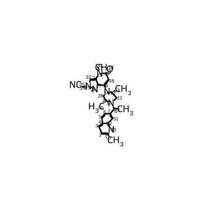 Cc1ccc2ccc(C(C)N3C[C@H](C)N(c4cc(=O)n(C)c5cn(CC#N)nc45)C[C@H]3C)cc2n1